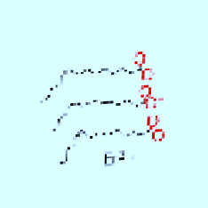 CCCC/C=C\CCCCCCCC(=O)[O-].CCCC/C=C\CCCCCCCC(=O)[O-].CCCC/C=C\CCCCCCCC(=O)[O-].[Er+3]